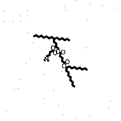 CCC[CH]CCCCC(CCCCCC)CCC(COC(=O)CCCC(=O)OC(CCCCCCCC)CCCCCCCC)OC(=O)CCCN(C)C